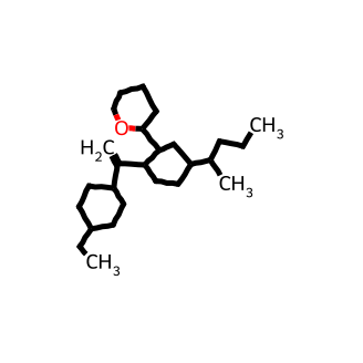 C=C(C1CCC(CC)CC1)C1CCC(C(C)CCC)CC1C1CCCCO1